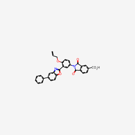 C=CCOc1ccc(N2C(=O)c3ccc(C(=O)O)cc3C2=O)cc1-c1nc2cc(-c3ccccc3)ccc2o1